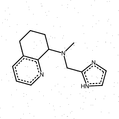 CN(Cc1ncc[nH]1)C1CCCc2cccnc21